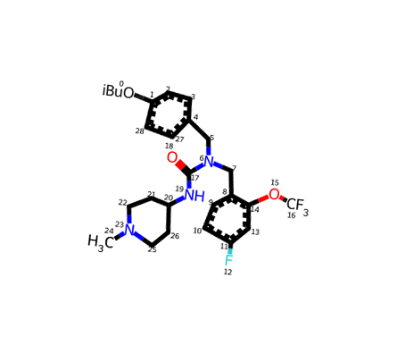 CC(C)COc1ccc(CN(Cc2ccc(F)cc2OC(F)(F)F)C(=O)NC2CCN(C)CC2)cc1